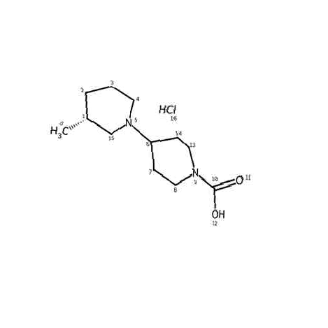 C[C@@H]1CCCN(C2CCN(C(=O)O)CC2)C1.Cl